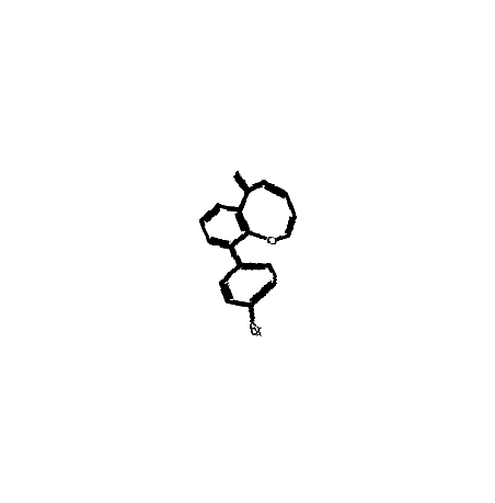 C=C1/C=C\C=C/Oc2c1cccc2-c1ccc(Br)cc1